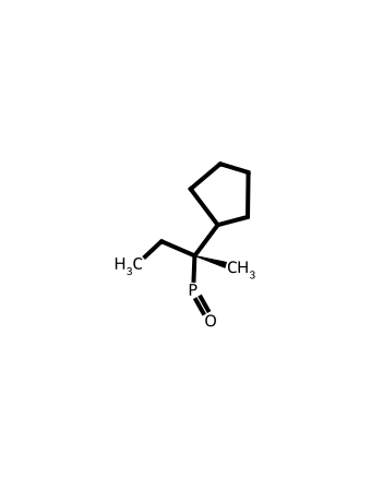 CC[C@@](C)(P=O)C1CCCC1